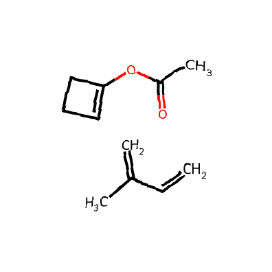 C=CC(=C)C.CC(=O)OC1=CCC1